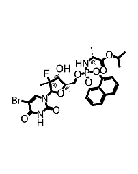 CC(C)OC(=O)[C@@H](C)NP(=O)(OC[C@H]1OC(n2cc(Br)c(=O)[nH]c2=O)[C@](C)(F)[C@@H]1O)Oc1cccc2ccccc12